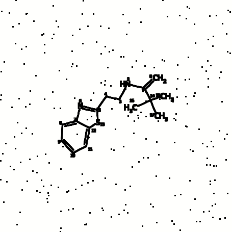 C=C(NCCc1nc2ccccc2s1)C(C)(C)C